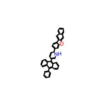 C1=CC(c2ccc3c(c2)oc2cc4ccccc4cc23)NC=C1c1c2ccccc2c(-c2ccccc2)c2ccccc12